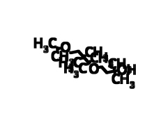 CC(C)OCCC(C)(C)C(C)(C)OCCC(C)(C)O